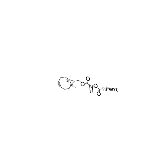 CCCCCC(=O)ONC(=O)OCC1[C@]2(C)CCC#CCC[C@]12C